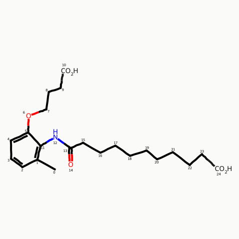 Cc1cccc(OCCCC(=O)O)c1NC(=O)CCCCCCCCCC(=O)O